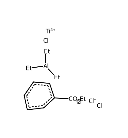 CCOC(=O)c1ccccc1.C[CH2][Al]([CH2]C)[CH2]C.[Cl-].[Cl-].[Cl-].[Cl-].[Ti+4]